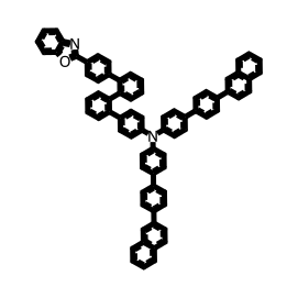 c1ccc(-c2ccccc2-c2ccc(N(c3ccc(-c4ccc(-c5ccc6ccccc6c5)cc4)cc3)c3ccc(-c4ccc(-c5ccc6ccccc6c5)cc4)cc3)cc2)c(-c2ccc(-c3nc4ccccc4o3)cc2)c1